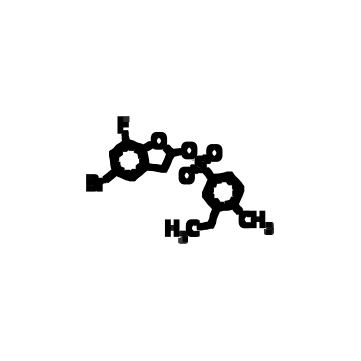 CCc1cc(S(=O)(=O)OC2Cc3cc(Br)cc(F)c3O2)ccc1C